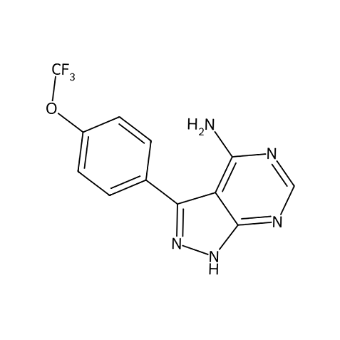 Nc1ncnc2[nH]nc(-c3ccc(OC(F)(F)F)cc3)c12